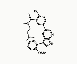 COc1ccccc1-c1c[nH]c2ncc(-c3ccc(Br)c(C(=O)N(C)CCN(C)C)c3)cc12